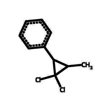 CC1C(c2ccccc2)C1(Cl)Cl